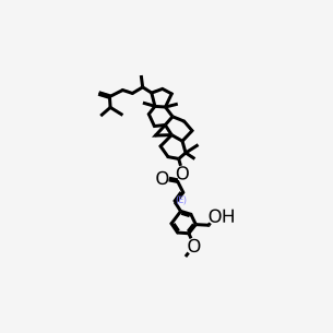 C=C(CCC(C)C1CCC2(C)C3CCC4C(C)(C)C(OC(=O)/C=C/c5ccc(OC)c(CO)c5)CCC45CC35CCC12C)C(C)C